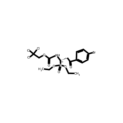 CCOP(=O)(OCC)[C@@H](CC(=O)c1ccc(Br)cc1)NC(=O)OCC(Cl)(Cl)Cl